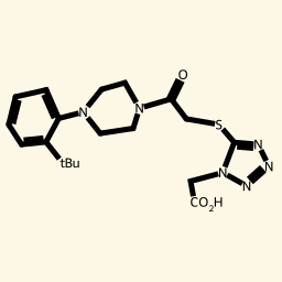 CC(C)(C)c1ccccc1N1CCN(C(=O)CSc2nnnn2CC(=O)O)CC1